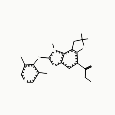 Cn1c(Nc2c(Cl)cncc2Cl)nc2cc(C(=O)CO)c3c(c21)CC(C)(C)O3